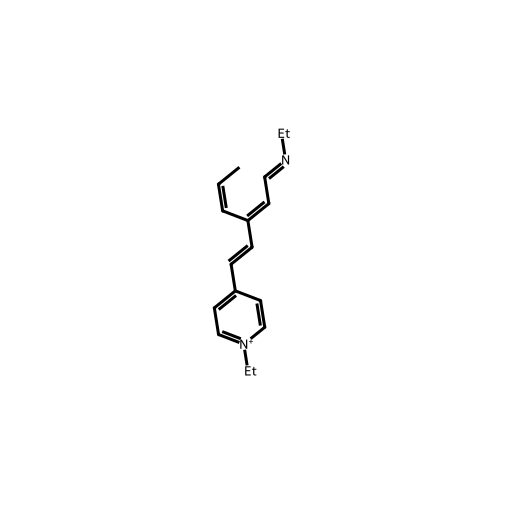 C\C=C/C(C=Cc1cc[n+](CC)cc1)=C\C=N\CC